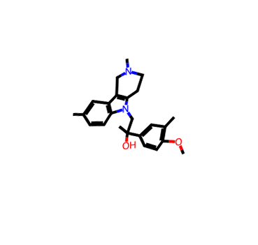 COc1ccc(C(C)(O)Cn2c3c(c4cc(C)ccc42)CN(C)CC3)cc1C